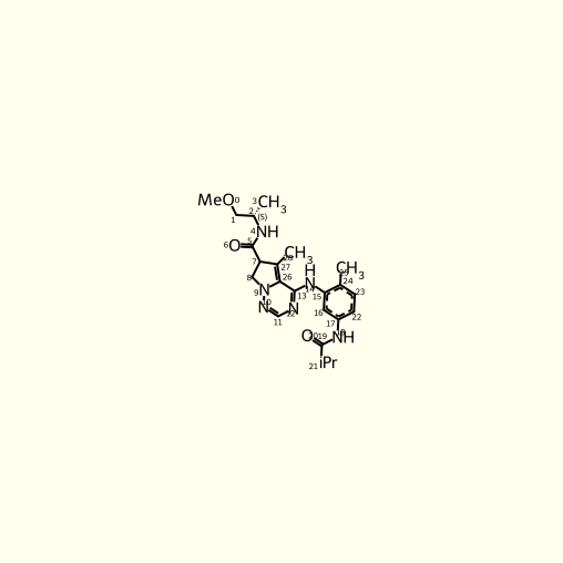 COC[C@H](C)NC(=O)C1CN2N=CN=C(Nc3cc(NC(=O)C(C)C)ccc3C)C2=C1C